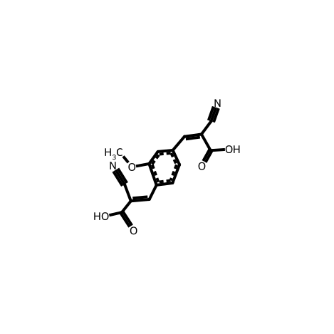 COc1cc(C=C(C#N)C(=O)O)ccc1C=C(C#N)C(=O)O